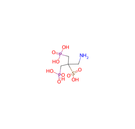 NCC(CP(=O)(O)O)(CP(=O)(O)O)S(=O)(=O)O